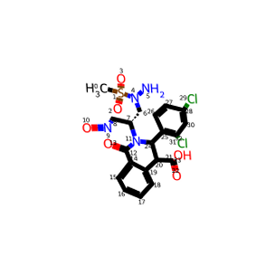 CS(=O)(=O)N(N)C[C@@H](CN=O)N1C(=O)c2ccccc2C(C(=O)O)C1c1ccc(Cl)cc1Cl